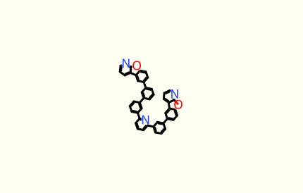 c1cc(-c2cccc(-c3cccc(-c4cccc(-c5ccc6oc7ncccc7c6c5)c4)n3)c2)cc(-c2ccc3oc4ncccc4c3c2)c1